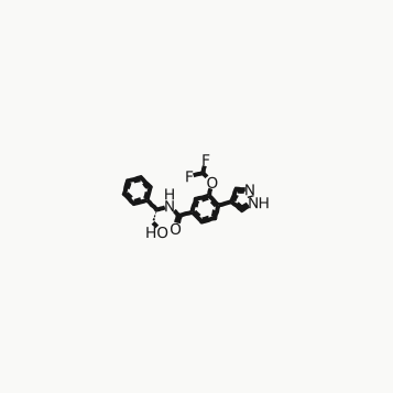 O=C(N[C@H](CO)c1ccccc1)c1ccc(-c2cn[nH]c2)c(OC(F)F)c1